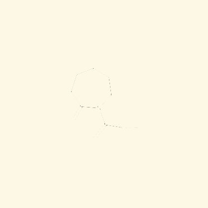 C=C(C(=O)O)N1CCCCCC1=O